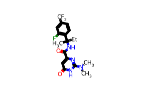 CCC(C)(NC(=O)c1cc(=O)[nH]c(N(C)C)n1)c1ccc(C(F)(F)F)cc1F